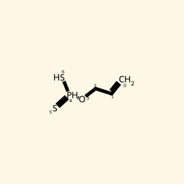 C=CCO[PH](=S)S